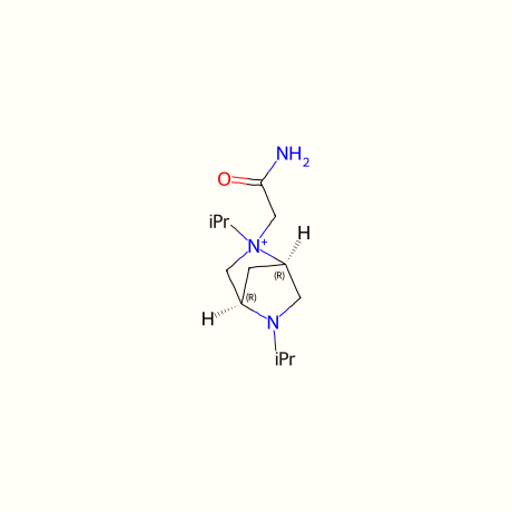 CC(C)N1C[C@H]2C[C@@H]1C[N+]2(CC(N)=O)C(C)C